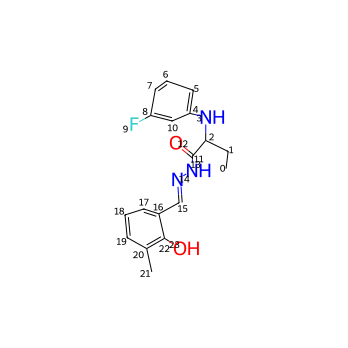 CCC(Nc1cccc(F)c1)C(=O)NN=Cc1cccc(C)c1O